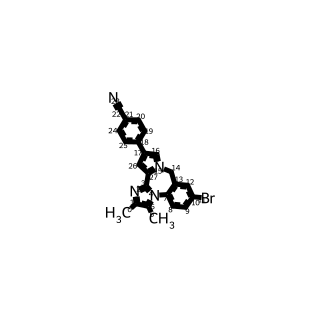 Cc1nc2n(c1C)-c1ccc(Br)cc1Cn1cc(-c3ccc(C#N)cc3)cc1-2